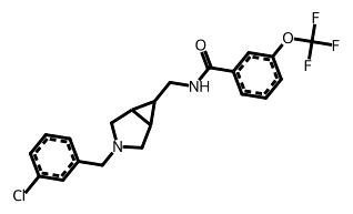 O=C(NCC1C2CN(Cc3cccc(Cl)c3)CC12)c1cccc(OC(F)(F)F)c1